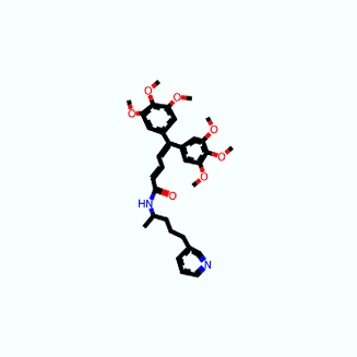 COc1cc(C(=C/C=C/C(=O)NC(C)CCCc2cccnc2)c2cc(OC)c(OC)c(OC)c2)cc(OC)c1OC